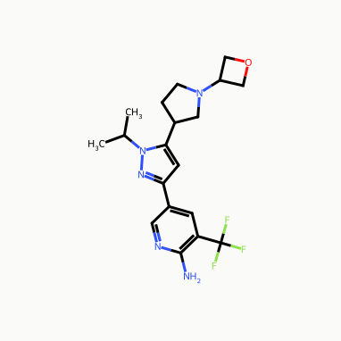 CC(C)n1nc(-c2cnc(N)c(C(F)(F)F)c2)cc1C1CCN(C2COC2)C1